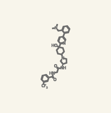 CN(C)Cc1ccccc1-c1ccc(C2(O)CCC(N3CC[C@@H](NC(=O)CNC(=O)c4cccc(C(F)(F)F)c4)C3)CC2)nc1